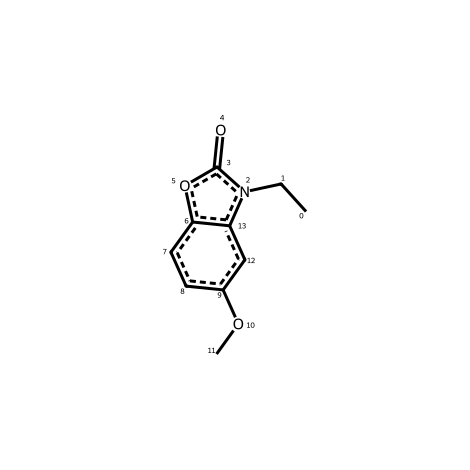 CCn1c(=O)oc2ccc(OC)cc21